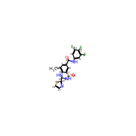 Cc1cc(C(=O)Nc2cc(F)c(F)c(F)c2)cc2c1NC(c1nccs1)N[S+]2[O-]